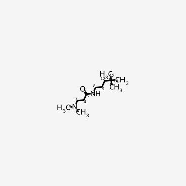 CN(C)CCC(=O)NCCCC(C)(C)C